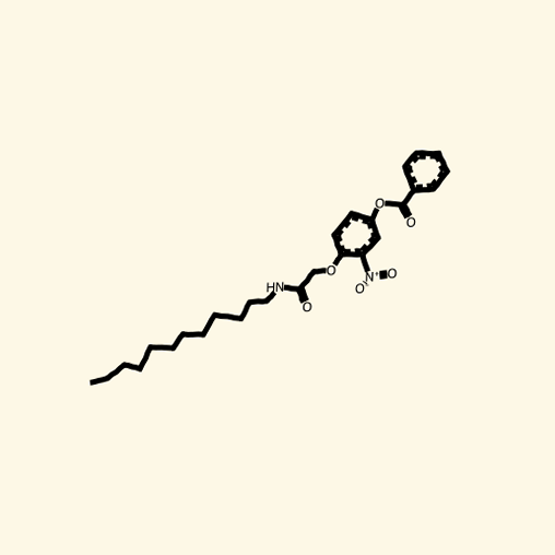 CCCCCCCCCCCCNC(=O)COc1ccc(OC(=O)c2ccccc2)cc1[N+](=O)[O-]